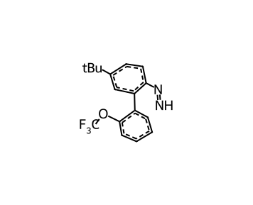 CC(C)(C)c1ccc(N=N)c(-c2ccccc2OC(F)(F)F)c1